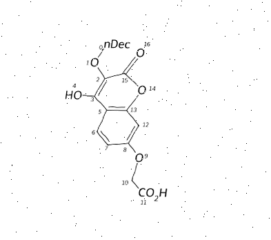 CCCCCCCCCCOc1c(O)c2ccc(OCC(=O)O)cc2oc1=O